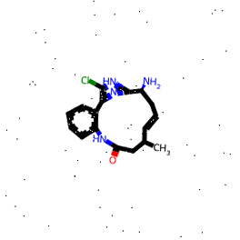 CC1/C=C/C[C@H](N)c2nc(c(Cl)[nH]2)-c2ccccc2NC(=O)C1